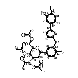 CC(=O)OC[C@H]1O[C@@H](c2ccc(C)c(Cc3ccc(-c4ccc(F)c(F)c4)s3)c2)[C@H](OC(C)=O)[C@@H](OC(C)=O)[C@@H]1OC(C)=O